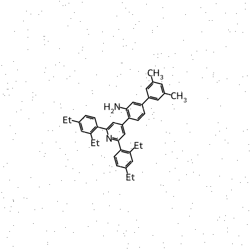 CCc1ccc(-c2cc(-c3ccc(-c4cc(C)cc(C)c4)cc3N)cc(-c3ccc(CC)cc3CC)n2)c(CC)c1